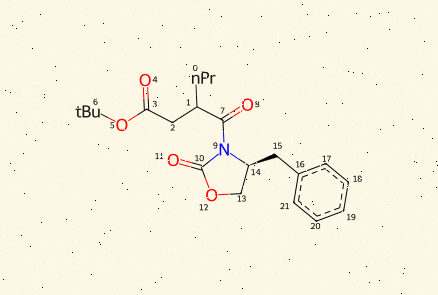 CCCC(CC(=O)OC(C)(C)C)C(=O)N1C(=O)OC[C@@H]1Cc1ccccc1